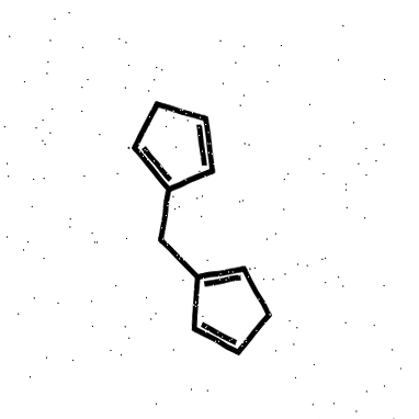 [C]1=C(CC2=[C]CC=C2)C=CC1